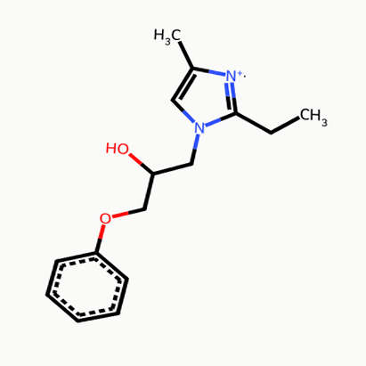 CCC1=[N+]C(C)=CN1CC(O)COc1ccccc1